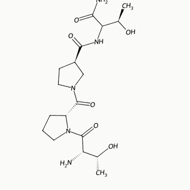 C[C@@H](O)C(NC(=O)[C@@H]1CCN(C(=O)[C@H]2CCCN2C(=O)[C@@H](N)[C@@H](C)O)C1)C(N)=O